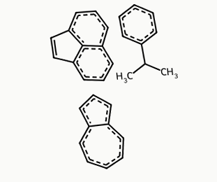 C1=Cc2cccc3cccc1c23.CC(C)c1ccccc1.c1ccc2cccc-2cc1